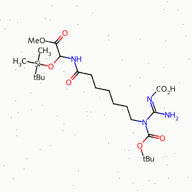 COC(=O)C(NC(=O)CCCCCCN(C(=O)OC(C)(C)C)C(N)=NC(=O)O)O[Si](C)(C)C(C)(C)C